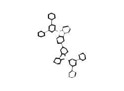 C1=CC2c3cc(-c4ccc5c(c4)c4ccccc4n5-c4cc(C5=CCCC=C5)cc(-c5ccccc5)c4)ccc3N(c3cc(-c4ccccc4)cc(-c4ccccc4)c3)C2C=C1